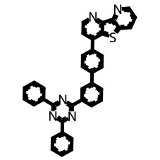 c1ccc(-c2nc(-c3ccccc3)nc(-c3cccc(-c4ccc(-c5ccnc6c5sc5cccnc56)cc4)c3)n2)cc1